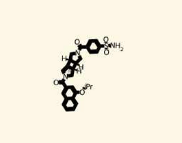 CC(C)Oc1cc(C(=O)N2C=C3[C@@H](C2)[C@H]2CN(C(=O)c4ccc(S(N)(=O)=O)cc4)C[C@@H]32)cc2ccccc12